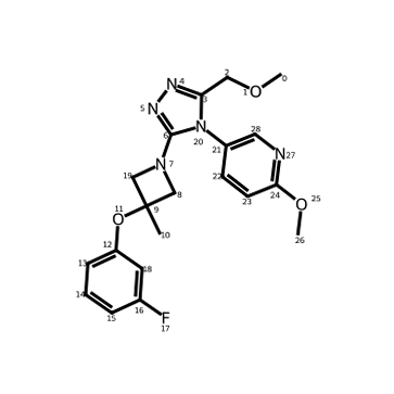 COCc1nnc(N2CC(C)(Oc3cccc(F)c3)C2)n1-c1ccc(OC)nc1